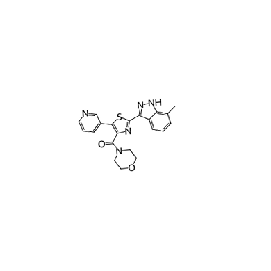 Cc1cccc2c(-c3nc(C(=O)N4CCOCC4)c(-c4cccnc4)s3)n[nH]c12